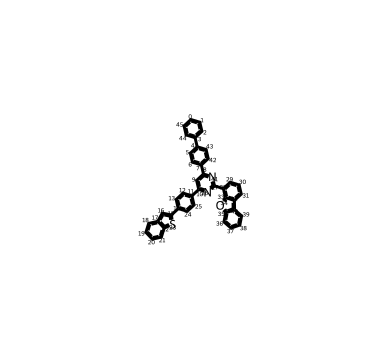 c1ccc(-c2ccc(-c3cc(-c4ccc(-c5cc6ccccc6s5)cc4)nc(-c4cccc5c4oc4ccccc45)n3)cc2)cc1